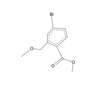 COCc1cc(Br)ccc1C(=O)OC